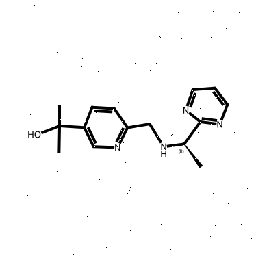 C[C@@H](NCc1ccc(C(C)(C)O)cn1)c1ncccn1